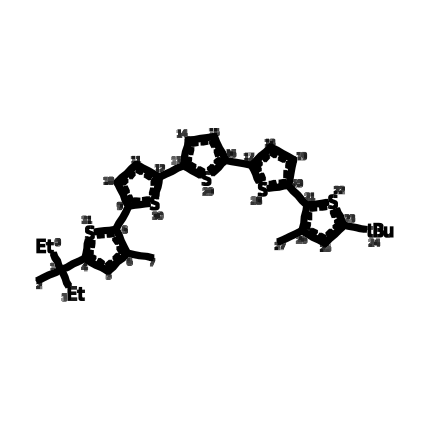 CCC(C)(CC)c1cc(C)c(-c2ccc(-c3ccc(-c4ccc(-c5sc(C(C)(C)C)cc5C)s4)s3)s2)s1